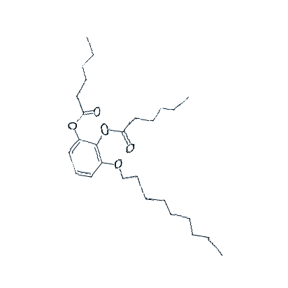 CCCCCCCCCOc1cccc(OC(=O)CCCCC)c1OC(=O)CCCCC